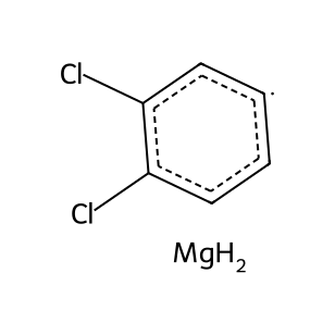 Clc1c[c]ccc1Cl.[MgH2]